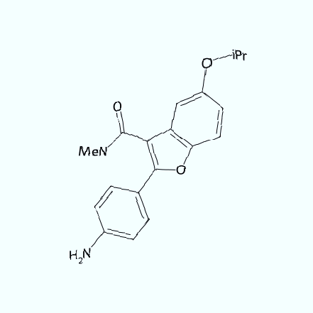 CNC(=O)c1c(-c2ccc(N)cc2)oc2ccc(OC(C)C)cc12